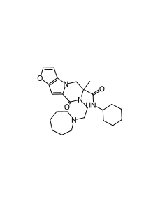 CC1(C(=O)NC2CCCCC2)Cn2c(cc3occc32)C(=O)N1CCN1CCCCCC1